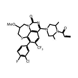 C=CC(=O)N1C(C)CN(c2nc(=O)n3c4c(c(-c5ccc(F)c(Cl)c5)c(C(F)(F)F)cc24)SCC(OC)C3)CC1C